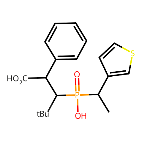 CC(c1ccsc1)P(=O)(O)C(C(C(=O)O)c1ccccc1)C(C)(C)C